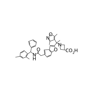 Cc1ccc(C(NC(=O)Cc2ccc3oc(C(C)(c4c(C)noc4C)N4CC(C(=O)O)C4)cc3c2)c2ccccc2)c(C)c1